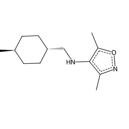 Cc1noc(C)c1NC[C@H]1CC[C@H](C)CC1